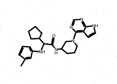 Cc1cccc(NC(C(=O)NC2CCCN(c3ncnc4[nH]ccc34)C2)C2CCCC2)c1